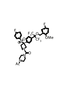 COc1ccc(F)cc1COC(c1ccc([C@]2(S(=O)(=O)c3ccc(F)cc3)CCN(C(=O)N3CCN(C(C)=O)CC3)C2)cc1)(C(F)(F)F)C(F)(F)F